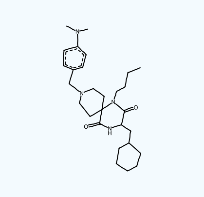 CCCCN1C(=O)C(CC2CCCCC2)NC(=O)C12CCN(Cc1ccc(N(C)C)cc1)CC2